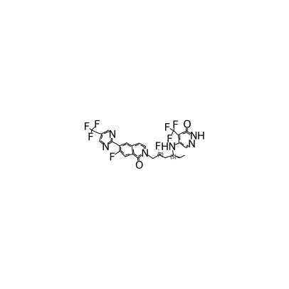 CC[C@@H](C[C@@H](F)Cn1ccc2cc(-c3ncc(C(F)(F)F)cn3)c(F)cc2c1=O)Nc1cn[nH]c(=O)c1C(F)(F)F